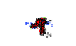 CC(C)C1=C2[C@H]3CC[C@@H]4[C@@]5(C)CC[C@H](OC(=O)CC(C)(C)C(=O)O)C(C)(C)[C@@H]5CC[C@@]4(C)[C@]3(C)CC[C@@]2(Cc2nnc(-c3ccc(F)c(CC(C)(CC(=O)O[C@H]4CC[C@]5(C)[C@H]6CC[C@@H]7C8=C(C(C)C)C(=O)C[C@]8(Cc8nnc(-c9ncc(F)cn9)n8CCN)CC[C@@]7(C)[C@]6(C)CC[C@H]5C4(C)C)C(=O)O)n3)n2CCN)CC1=O